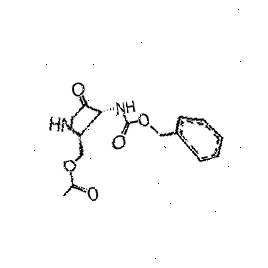 CC(=O)OC[C@H]1NC(=O)[C@@H]1NC(=O)OCc1ccccc1